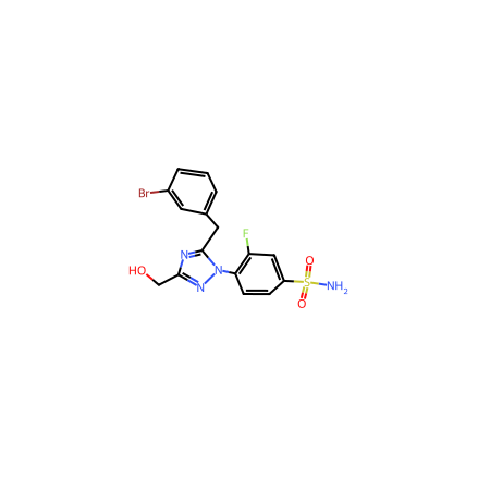 NS(=O)(=O)c1ccc(-n2nc(CO)nc2Cc2cccc(Br)c2)c(F)c1